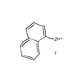 [I-].[Zn+][c]1cccc2ccccc12